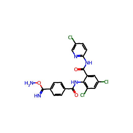 N=C(ON)c1ccc(C(=O)Nc2c(Cl)cc(Cl)cc2C(=O)Nc2ccc(Cl)cn2)cc1